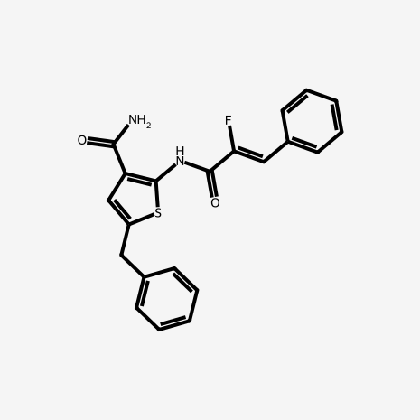 NC(=O)c1cc(Cc2ccccc2)sc1NC(=O)C(F)=Cc1ccccc1